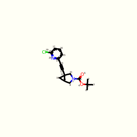 CC(C)(C)OC(=O)N1CC2CC2(C#Cc2cccc(Cl)n2)C1